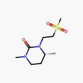 C[C@@H]1CCN(C)C(=O)N1CCS(C)(=O)=O